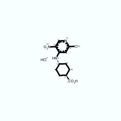 Cl.O=C(O)[C@H]1CC[C@H](Nc2cc(Cl)ncc2[N+](=O)[O-])CC1